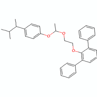 CC(OCCOc1c(-c2ccccc2)cccc1-c1ccccc1)Oc1ccc(C(C)C(C)C)cc1